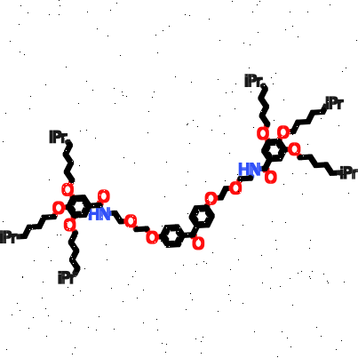 CC(C)CCCCCOc1cc(C(=O)NCCOCCOc2ccc(C(=O)c3ccc(OCCOCCNC(=O)c4cc(OCCCCCC(C)C)c(OCCCCCC(C)C)c(OCCCCCC(C)C)c4)cc3)cc2)cc(OCCCCCC(C)C)c1OCCCCCC(C)C